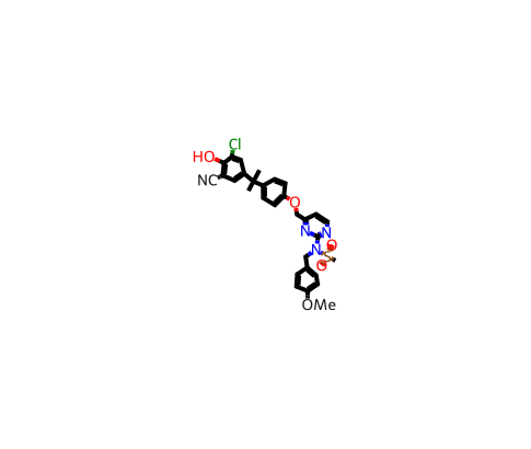 COc1ccc(CN(c2nccc(COc3ccc(C(C)(C)c4cc(Cl)c(O)c(C#N)c4)cc3)n2)S(C)(=O)=O)cc1